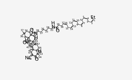 CC/C=C\C/C=C\C/C=C\C/C=C\C/C=C\C/C=C\CCC(=O)NCCCCCCNC(=O)[C@]12CCC(C)(C)C[C@@H]1[C@H]1C(=O)C=C3[C@@]4(C)C=C(C#N)C(=O)C(C)(C)[C@@H]4CC[C@@]3(C)[C@]1(C)CC2